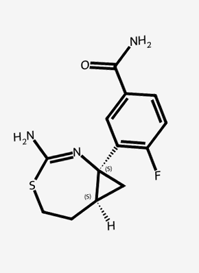 NC(=O)c1ccc(F)c([C@]23C[C@H]2CCSC(N)=N3)c1